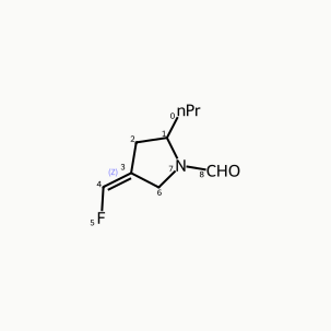 CCCC1C/C(=C/F)CN1C=O